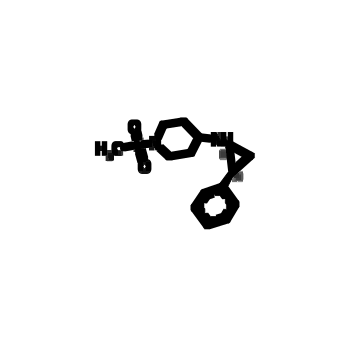 CS(=O)(=O)N1CCC(N[C@@H]2C[C@H]2c2ccccc2)CC1